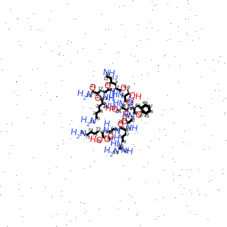 C[C@@H](O)[C@H](NC(=O)[C@H](CCCCN)NC(=O)[C@H](CCC(N)=O)NC(=O)[C@@H](N)CCCCN)C(=O)N[C@@H](CO)C(=O)N[C@@H](Cc1ccccc1)C(=O)NCC(=O)N[C@@H](CCCNC(=N)N)C(=O)NCC(=O)N[C@@H](CCCCN)C(=O)O